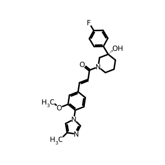 COc1cc(/C=C/C(=O)N2CCC[C@](O)(c3ccc(F)cc3)C2)ccc1-n1cnc(C)c1